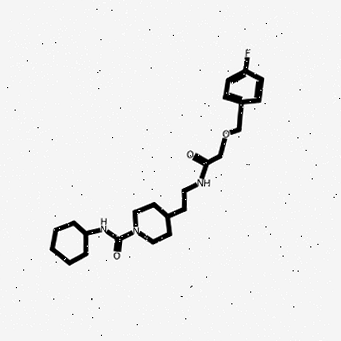 O=C(COCc1ccc(F)cc1)NCCC1CCN(C(=O)NC2CCCCC2)CC1